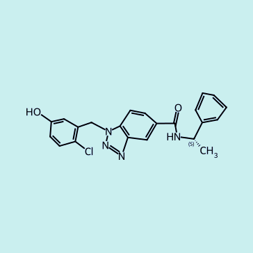 C[C@H](NC(=O)c1ccc2c(c1)nnn2Cc1cc(O)ccc1Cl)c1ccccc1